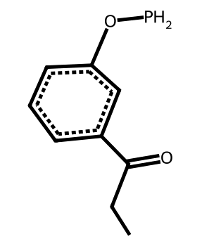 CCC(=O)c1cccc(OP)c1